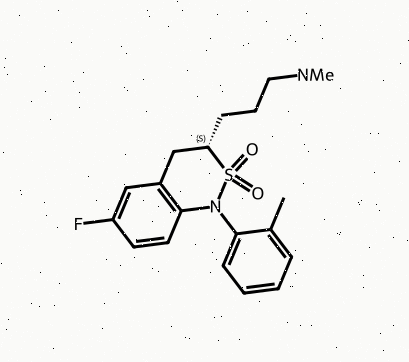 CNCCC[C@H]1Cc2cc(F)ccc2N(c2ccccc2C)S1(=O)=O